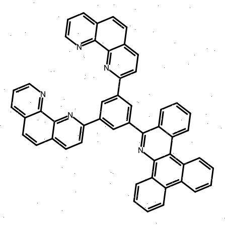 c1cnc2c(c1)ccc1ccc(-c3cc(-c4ccc5ccc6cccnc6c5n4)cc(-c4nc5c6ccccc6c6ccccc6c5c5ccccc45)c3)nc12